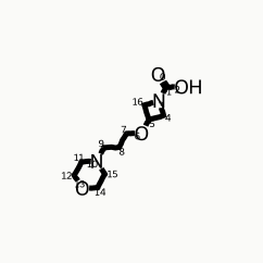 O=C(O)N1CC(OCCCN2CCOCC2)C1